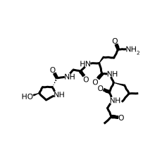 CC(=O)CNC(=O)[C@H](CC(C)C)NC(=O)[C@H](CCC(N)=O)NC(=O)CNC(=O)[C@H]1C[C@H](O)CN1